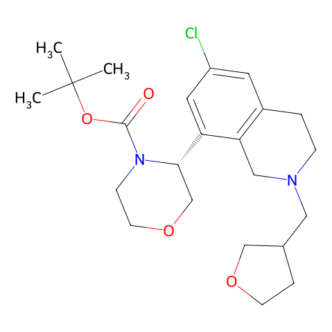 CC(C)(C)OC(=O)N1CCOC[C@H]1c1cc(Cl)cc2c1CN(CC1CCOC1)CC2